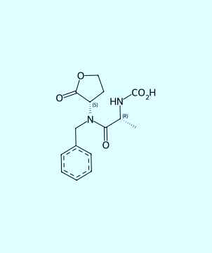 C[C@@H](NC(=O)O)C(=O)N(Cc1ccccc1)[C@H]1CCOC1=O